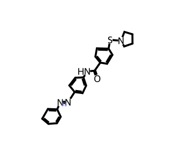 O=C(Nc1ccc(/N=N/c2ccccc2)cc1)c1ccc(SN2CCCC2)cc1